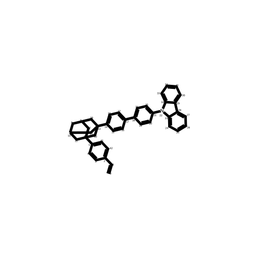 C=Cc1ccc(C23CC4CC(C2)CC(c2ccc(-c5ccc(-n6c7ccccc7c7ccccc76)cc5)cc2)(C4)C3)cc1